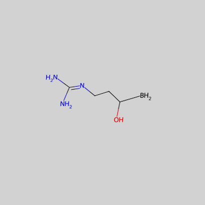 BC(O)CCN=C(N)N